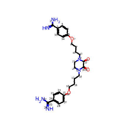 N=C(N)c1ccc(OCCCCN2CCN(CCCCOc3ccc(C(=N)N)cc3)C(=O)C2=O)cc1